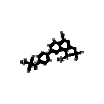 COc1c(CC(F)(F)F)cc(Br)c2ncc(-c3ccc(NS(C)(=O)=O)cc3)cc12